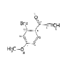 C#CC(=O)c1ccc(OC)cc1Br